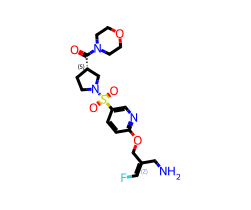 NC/C(=C/F)COc1ccc(S(=O)(=O)N2CC[C@H](C(=O)N3CCOCC3)C2)cn1